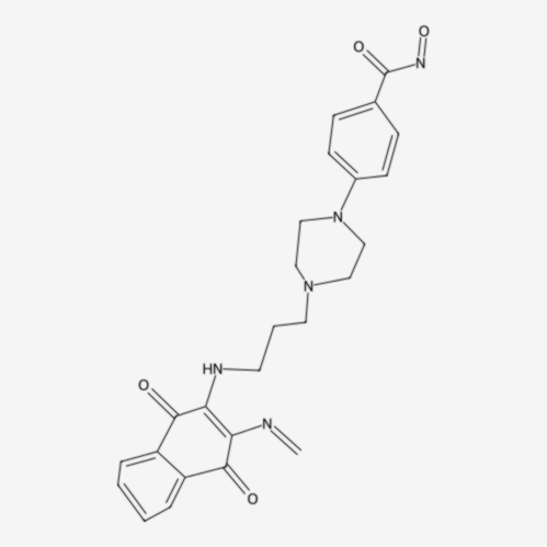 C=NC1=C(NCCCN2CCN(c3ccc(C(=O)N=O)cc3)CC2)C(=O)c2ccccc2C1=O